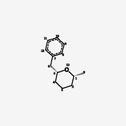 C[C@@H]1CCC[C@H](Cc2ccccc2)O1